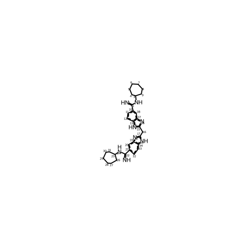 N=C(NC1CCCCCC1)c1ccc2[nH]c(Cc3nc4cc(C(=N)NC5CCCCCC5)ccc4[nH]3)nc2c1